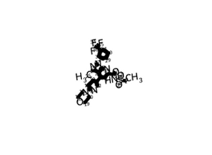 CCS(=O)(=O)NC(=O)c1cc(-c2ccc(N3CCOCC3)nc2)c2c(C)nn(-c3cccc(C(F)(F)F)c3)c2n1